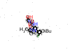 CC(C)COc1cc(F)cc(-c2ccc(C(=O)NS(=O)(=O)N3CCC(O)C3)c(N3C[C@@H](C)CC3(C)C)n2)c1